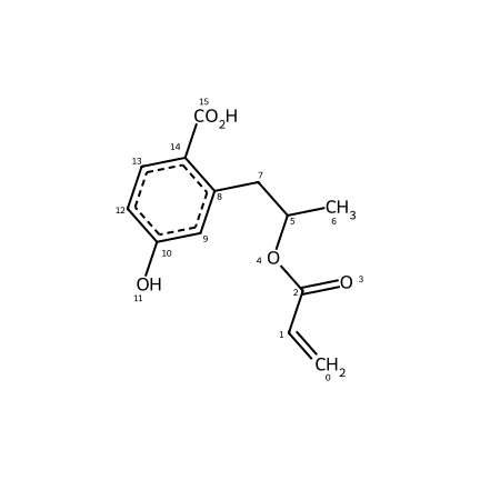 C=CC(=O)OC(C)Cc1cc(O)ccc1C(=O)O